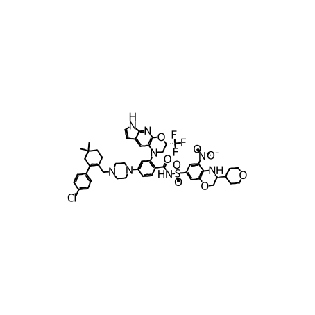 CC1(C)CCC(CN2CCN(c3ccc(C(=O)NS(=O)(=O)c4cc5c(c([N+](=O)[O-])c4)N[C@@H](C4CCOCC4)CO5)c(N4C[C@@H](C(F)(F)F)Oc5nc6[nH]ccc6cc54)c3)CC2)=C(c2ccc(Cl)cc2)C1